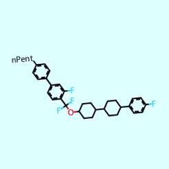 CCCCCc1ccc(-c2ccc(C(F)(F)OC3CCC(C4CCC(c5ccc(F)cc5)CC4)CC3)c(F)c2)cc1